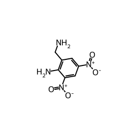 NCc1cc([N+](=O)[O-])cc([N+](=O)[O-])c1N